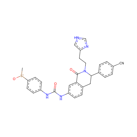 C[S+]([O-])c1ccc(NC(=O)Nc2ccc3c(c2)C(=O)N(CCc2c[nH]cn2)C(c2ccc(C#N)cc2)C3)cc1